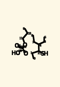 CCC(S)C(CC)CC.CCCOS(=O)(=O)O